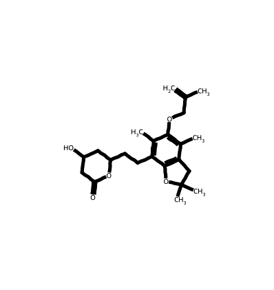 C=C(C)COc1c(C)c(CCC2CC(O)CC(=O)O2)c2c(c1C)CC(C)(C)O2